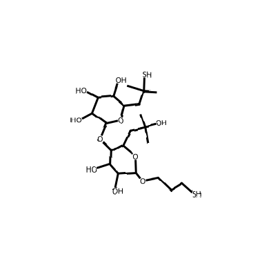 CC(C)(O)CC1OC(OCCCS)C(O)C(O)C1OC1OC(CC(C)(C)S)C(O)C(O)C1O